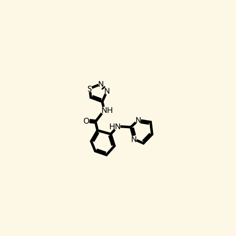 O=C(Nc1csnn1)c1ccccc1Nc1ncccn1